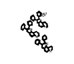 Cl.Cl.c1ccc(-c2cc3ccc4ncccc4c3nc2-c2ccccc2)cc1.c1ccc(-c2cc3ccc4ncccc4c3nc2-c2ccccc2)cc1.c1ccc(-c2cc3ccc4ncccc4c3nc2-c2ccccc2)cc1